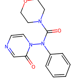 O=C(N1CCOCC1)N(c1ccccc1)n1ccncc1=O